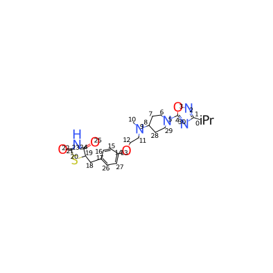 CC(C)c1noc(N2CCC(N(C)CCOc3ccc(CC4SC(=O)NC4=O)cc3)CC2)n1